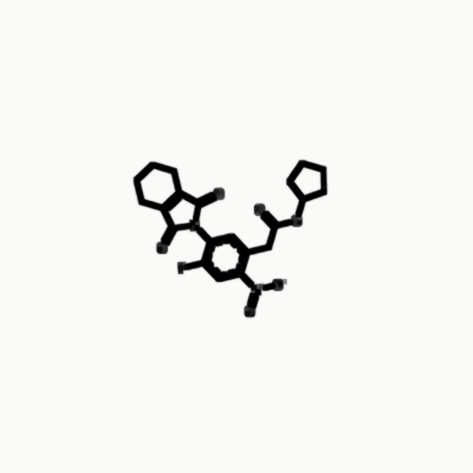 O=C(Cc1cc(N2C(=O)C3=C(CCCC3)C2=O)c(F)cc1[N+](=O)[O-])OC1CCCC1